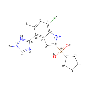 Cc1cc(F)c2[nH]c(S(=O)(=O)C3CCCC3)cc2c1-c1ncn(C)n1